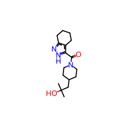 CC(C)(O)CC1CCN(C(=O)c2[nH]nc3c2CCCC3)CC1